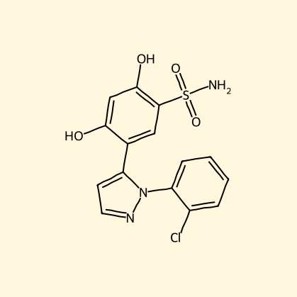 NS(=O)(=O)c1cc(-c2ccnn2-c2ccccc2Cl)c(O)cc1O